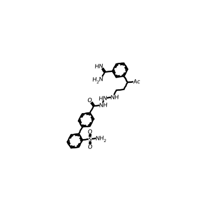 CC(=O)C(CCNNNC(=O)c1ccc(-c2ccccc2S(N)(=O)=O)cc1)c1cccc(C(=N)N)c1